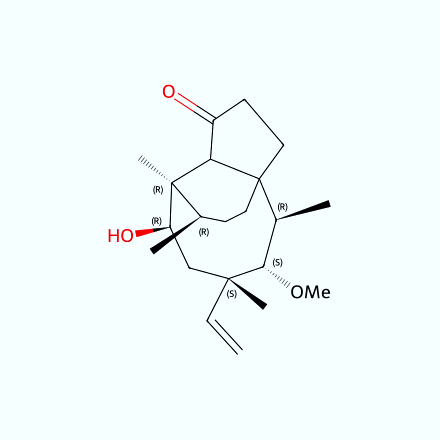 C=C[C@]1(C)C[C@@H](O)[C@@]2(C)C3C(=O)CCC3(CC[C@H]2C)[C@@H](C)[C@@H]1OC